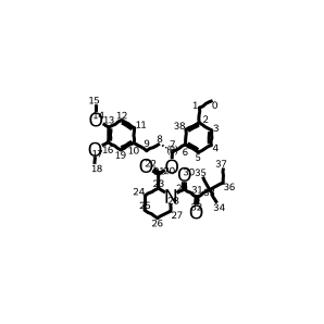 CCc1cccc([C@@H](CCc2ccc(OC)c(OC)c2)OC(=O)C2CCCCN2C(=O)C(=O)C(C)(C)CC)c1